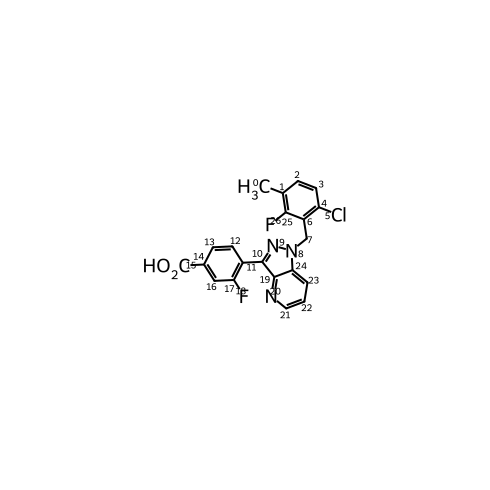 Cc1ccc(Cl)c(Cn2nc(-c3ccc(C(=O)O)cc3F)c3ncccc32)c1F